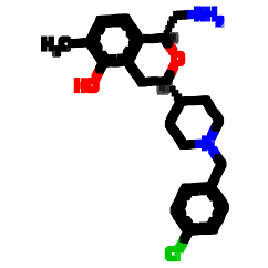 Cc1ccc2c(c1O)C[C@@H](C1CCN(Cc3ccc(Cl)cc3)CC1)O[C@H]2CN